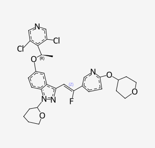 C[C@@H](Oc1ccc2c(c1)c(/C=C(\F)c1ccc(OC3CCOCC3)nc1)nn2C1CCCCO1)c1c(Cl)cncc1Cl